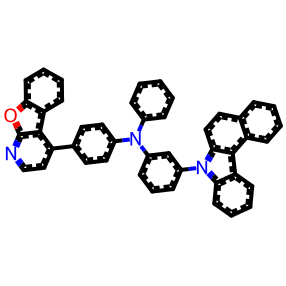 c1ccc(N(c2ccc(-c3ccnc4oc5ccccc5c34)cc2)c2cccc(-n3c4ccccc4c4c5ccccc5ccc43)c2)cc1